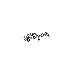 CC(C)c1ccc(C(O)CC(CNC[C@H]2CC[C@@H](Nc3nc(N(C)C)c4ccccc4n3)CC2)Sc2ccc(Cl)cc2)cc1